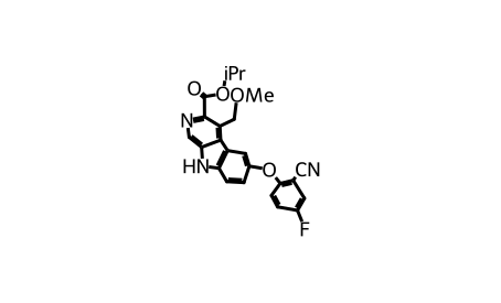 COCc1c(C(=O)OC(C)C)ncc2[nH]c3ccc(Oc4ccc(F)cc4C#N)cc3c12